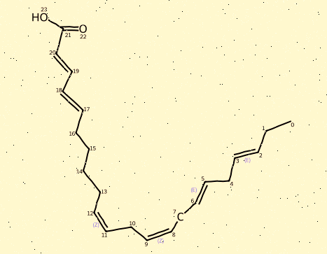 CC/C=C/C/C=C/C/C=C\C/C=C\CCCCC=CC=CC(=O)O